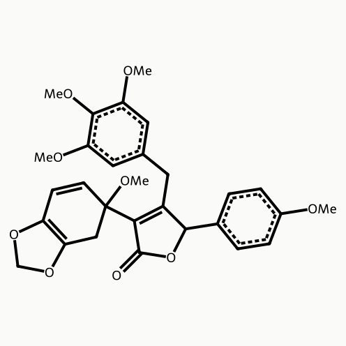 COc1ccc(C2OC(=O)C(C3(OC)C=CC4=C(C3)OCO4)=C2Cc2cc(OC)c(OC)c(OC)c2)cc1